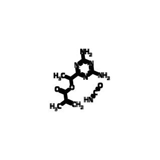 C=C(C)C(=O)OC(C)c1nc(N)nc(N)n1.N=C=O